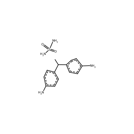 CC(c1ccc(N)cc1)c1ccc(N)cc1.NS(N)(=O)=O